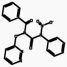 O=C(c1ccccc1)N(Oc1cccnn1)C(=O)N(c1ccccc1)[N+](=O)[O-]